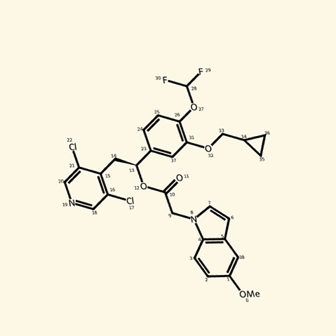 COc1ccc2c(ccn2CC(=O)O[C@@H](Cc2c(Cl)cncc2Cl)c2ccc(OC(F)F)c(OCC3CC3)c2)c1